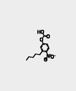 CCCCCc1cc(OC(=O)O)ccc1[N+](=O)[O-]